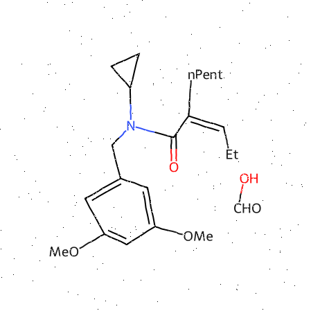 CC/C=C(/CCCCC)C(=O)N(Cc1cc(OC)cc(OC)c1)C1CC1.O=CO